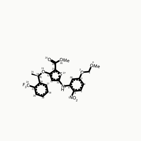 COCOc1ccc([N+](=O)[O-])c(Nc2cc(O[C@H](C)c3ccccc3C(F)(F)F)c(C(=O)OC)s2)c1